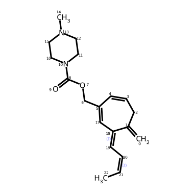 C=C1CC=CC(COC(=O)N2CCN(C)CC2)=C/C1=C/C=C\C